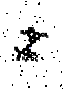 C=C1Cc2cc(/C=C/C3=CC(=C(C#N)C#N)C=C(C(C)(C)C)O3)cc3c2N(C1)CC(C)(C)C3